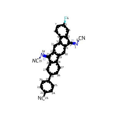 N#C/N=c1\c2cc(F)ccc2c2cc3/c(=N/C#N)c4cc(-c5ccc(C#N)cc5)ccc4c3cc12